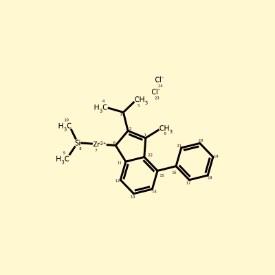 CC1=C(C(C)C)[CH]([Zr+2][Si](C)C)c2cccc(-c3ccccc3)c21.[Cl-].[Cl-]